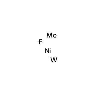 [F].[Mo].[Ni].[W]